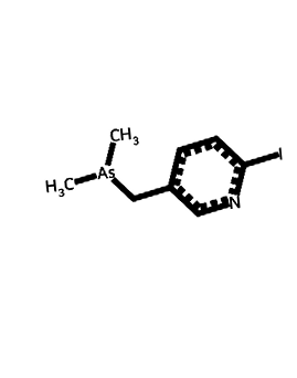 C[As](C)Cc1ccc(I)nc1